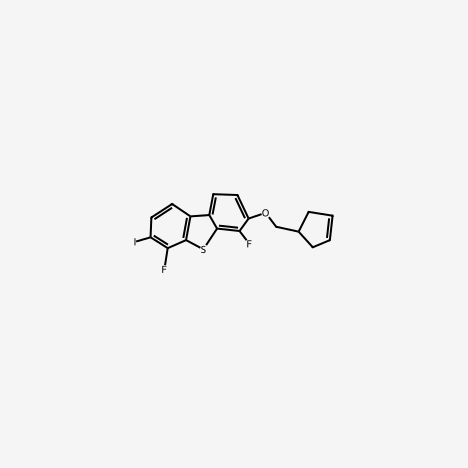 Fc1c(I)ccc2c1sc1c(F)c(OCC3CC=CC3)ccc12